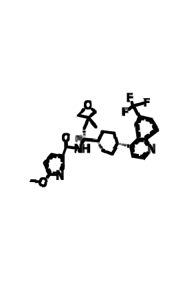 COc1ccc(C(=O)N[C@H](CC2(C)COC2)[C@H]2CC[C@@H](c3ccnc4ccc(C(F)(F)F)cc43)CC2)cn1